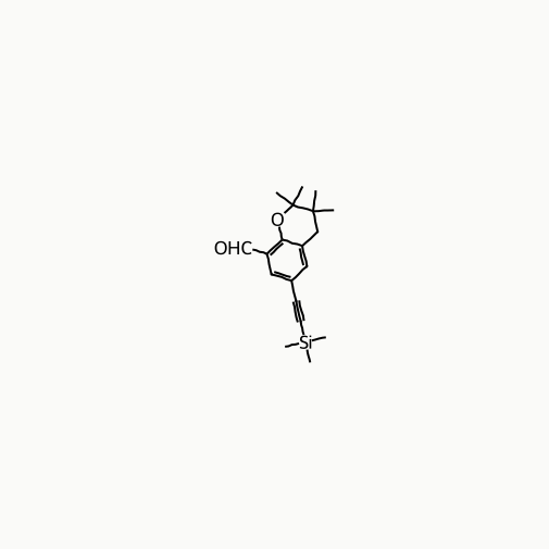 CC1(C)Cc2cc(C#C[Si](C)(C)C)cc(C=O)c2OC1(C)C